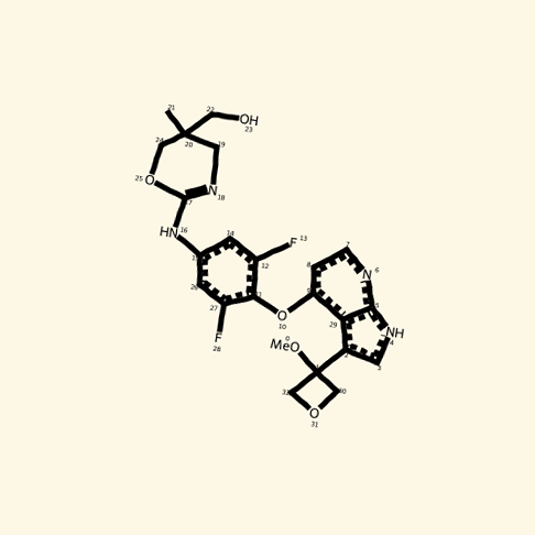 COC1(c2c[nH]c3nccc(Oc4c(F)cc(NC5=NCC(C)(CO)CO5)cc4F)c23)COC1